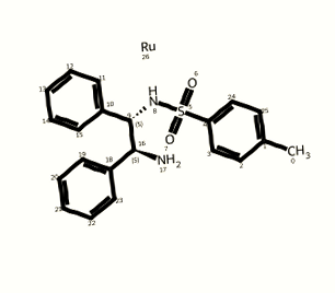 Cc1ccc(S(=O)(=O)N[C@@H](c2ccccc2)[C@@H](N)c2ccccc2)cc1.[Ru]